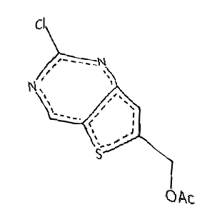 CC(=O)OCc1cc2nc(Cl)ncc2s1